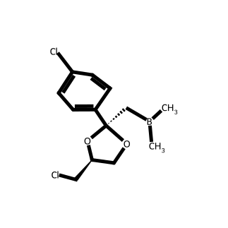 CB(C)C[C@]1(c2ccc(Cl)cc2)OC[C@@H](CCl)O1